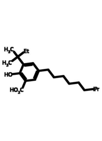 CCC(C)(C)c1cc(CCCCCCC(C)C)cc(C(=O)O)c1O